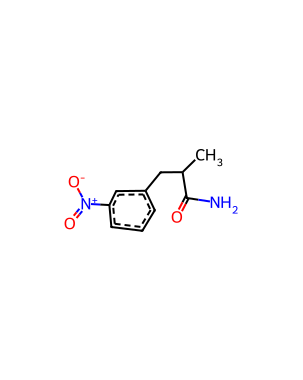 CC(Cc1cccc([N+](=O)[O-])c1)C(N)=O